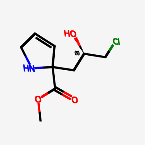 COC(=O)C1(C[C@H](O)CCl)C=CCN1